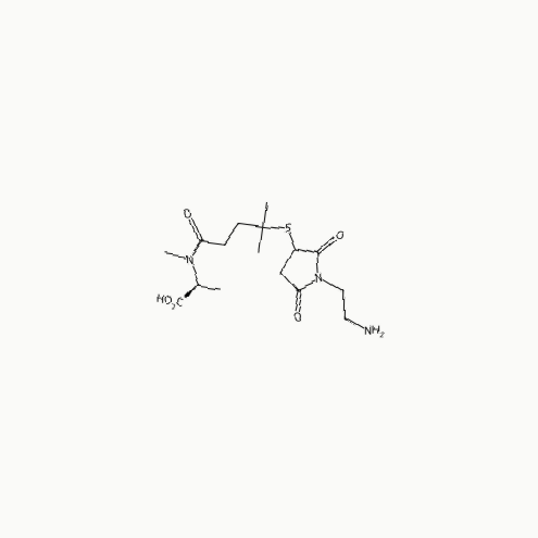 C[C@@H](C(=O)O)N(C)C(=O)CCC(C)(C)SC1CC(=O)N(CCN)C1=O